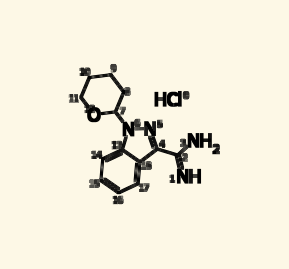 Cl.N=C(N)c1nn(C2CCCCO2)c2ccccc12